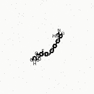 N#Cc1c[nH]c2c(N3CCC(c4ccc(N5CCC(CN6CCN(c7cc8c(cc7F)C(=O)N(C7CCC(=O)NC7=O)C8=O)CC6)CC5)cc4)CC3)ccc(Cl)c12